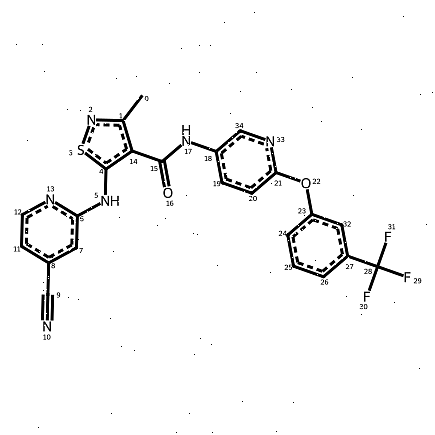 Cc1nsc(Nc2cc(C#N)ccn2)c1C(=O)Nc1ccc(Oc2cccc(C(F)(F)F)c2)nc1